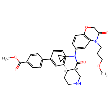 COCCCN1C(=O)COc2ccc(N(C(=O)[C@H]3CNCC[C@@H]3c3cccc(-c4ccc(C(=O)OC)cc4)c3)C3CC3)cc21